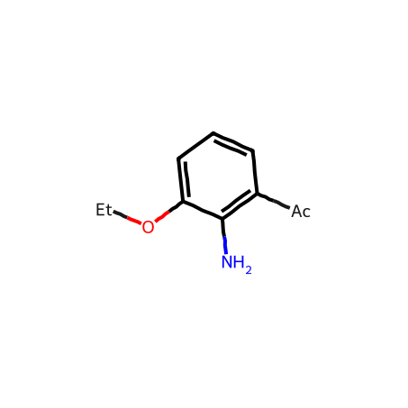 [CH2]COc1cccc(C(C)=O)c1N